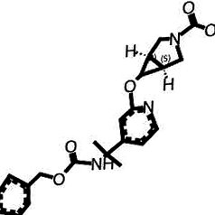 CC(C)(NC(=O)OCc1ccccc1)c1ccnc(OC2[C@H]3CN(C(=O)O)C[C@@H]23)c1